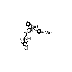 CSc1ccc(NC(=O)N(Cc2ccccc2)C2CCN([C@H](C)CCNC(=O)c3c(C)cc(Cl)nc3C)CC2)cc1